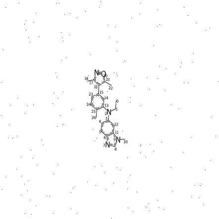 CCN(c1ccc2ncn(C)c2c1)c1cc(-c2c(C)noc2C)ccc1C